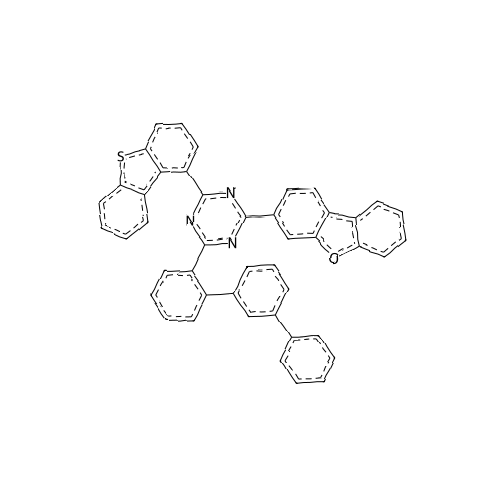 c1ccc(-c2cccc(-c3ccccc3-c3nc(-c4ccc5c(c4)oc4ccccc45)nc(-c4cccc5sc6ccccc6c45)n3)c2)cc1